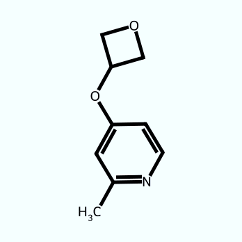 Cc1cc(OC2COC2)ccn1